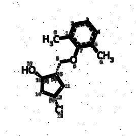 Cc1cccc(C)c1OC[C@@H]1C[C@H](Cl)C[C@H]1O